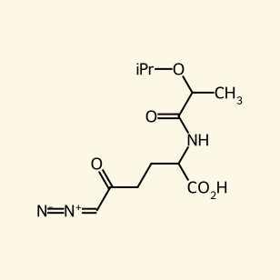 CC(C)OC(C)C(=O)NC(CCC(=O)C=[N+]=[N-])C(=O)O